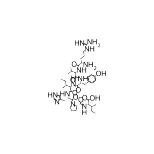 CC[C@H](C)[C@H](NC(=O)[C@@H]1CCCN1C(=O)[C@H](Cc1c[nH]cn1)NC(=O)[C@@H](NC(=O)[C@H](Cc1ccc(O)cc1)NC(=O)[C@@H](NC(=O)[C@@H](N)CCCNC(=N)N)C(C)C)[C@@H](C)CC)C(=O)O